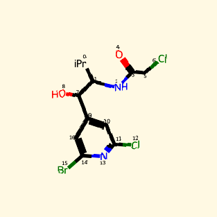 CC(C)C(NC(=O)CCl)C(O)c1cc(Cl)nc(Br)c1